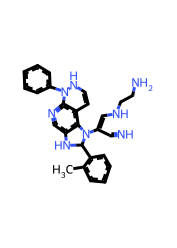 Cc1ccccc1C1Nc2cnc3c(c2N1/C(C=N)=C/NCCN)C=CNN3c1ccccc1